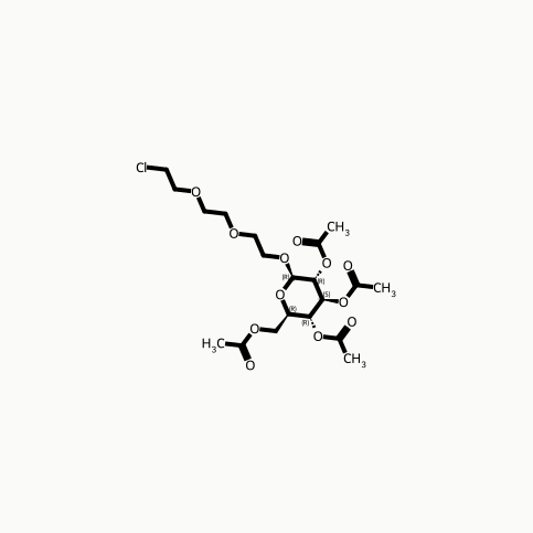 CC(=O)OC[C@H]1O[C@@H](OCCOCCOCCCl)[C@H](OC(C)=O)[C@@H](OC(C)=O)[C@@H]1OC(C)=O